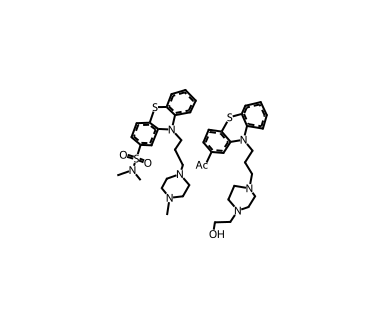 CC(=O)c1ccc2c(c1)N(CCCN1CCN(CCO)CC1)c1ccccc1S2.CN1CCN(CCCN2c3ccccc3Sc3ccc(S(=O)(=O)N(C)C)cc32)CC1